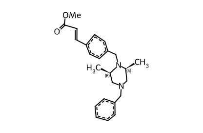 COC(=O)C=Cc1ccc(CN2[C@H](C)CN(Cc3ccccc3)C[C@@H]2C)cc1